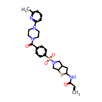 C=CC(=O)NC1CC2CN(S(=O)(=O)c3ccc(C(=O)N4CCN(c5cccc(C)n5)CC4)cc3)CC2S1